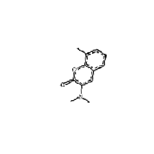 Cc1cccc2cc(N(C)C)c(=O)oc12